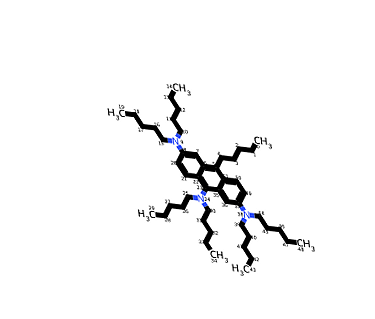 CCCCCc1c2cc(N(CCCCC)CCCCC)ccc2c(N(CCCCC)CCCCC)c2cc(N(CCCCC)CCCCC)ccc12